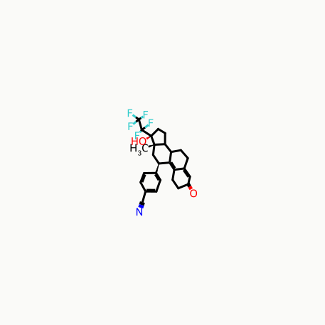 C[C@]12C[C@H](c3ccc(C#N)cc3)C3=C4CCC(=O)C=C4CCC3C1CC[C@@]2(O)C(F)(F)C(F)(F)F